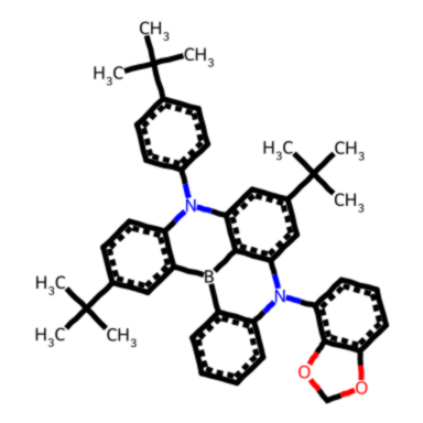 CC(C)(C)c1ccc(N2c3ccc(C(C)(C)C)cc3B3c4ccccc4N(c4cccc5c4OCO5)c4cc(C(C)(C)C)cc2c43)cc1